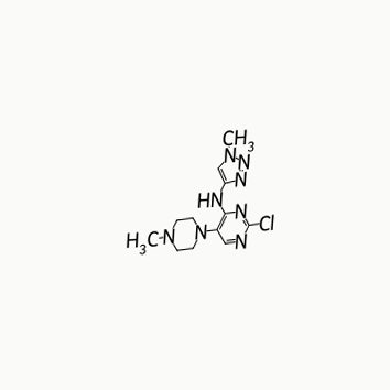 CN1CCN(c2cnc(Cl)nc2Nc2cn(C)nn2)CC1